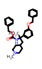 CN1CCC(CC(NC(=O)OCc2ccccc2)(C(=O)O)c2cccc(OCc3ccccc3)c2)CC1